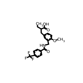 CCC(Cc1ccc(OC)c(CNC(=O)c2ccc(C(F)(F)F)cc2)c1)C(=O)O